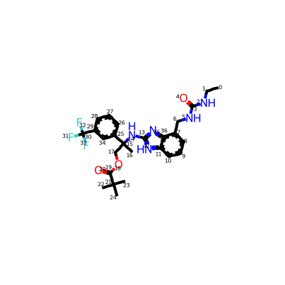 CCNC(=O)NCc1cccc2[nH]c(NC(C)(COC(=O)C(C)(C)C)c3cccc(C(F)(F)F)c3)nc12